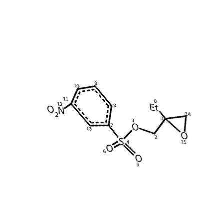 CCC1(COS(=O)(=O)c2cccc([N+](=O)[O-])c2)CO1